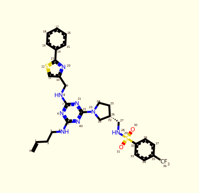 C=CCCNc1nc(NCc2csc(-c3ccccc3)n2)nc(N2CC[C@H](CNS(=O)(=O)c3ccc(C(F)(F)F)cc3)C2)n1